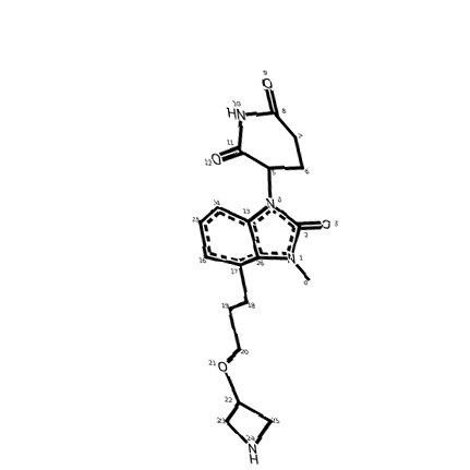 Cn1c(=O)n(C2CCC(=O)NC2=O)c2cccc(CCCOC3CNC3)c21